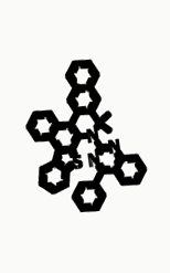 CC1(C)c2cc3ccccc3cc2-c2c(c3sc4ccccc4c3c3ccccc23)N1c1nc(-c2ccccc2)c2ccccc2n1